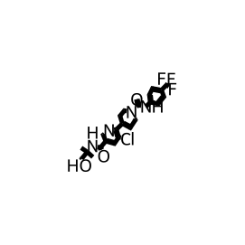 CC(C)(CO)NC(=O)c1cnc(C2=CCN(C(=O)Nc3ccc(C(F)(F)F)cc3)CC2)c(Cl)c1